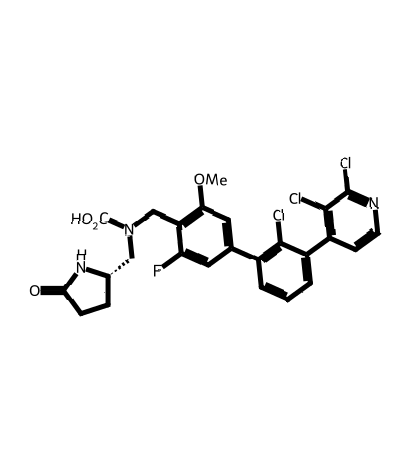 COc1cc(-c2cccc(-c3ccnc(Cl)c3Cl)c2Cl)cc(F)c1CN(C[C@@H]1CCC(=O)N1)C(=O)O